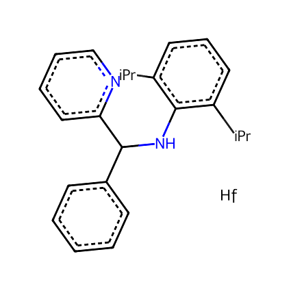 CC(C)c1cccc(C(C)C)c1NC(c1ccccc1)c1ccccn1.[Hf]